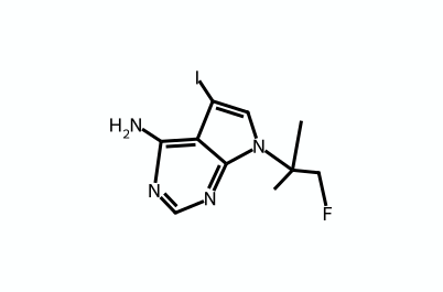 CC(C)(CF)n1cc(I)c2c(N)ncnc21